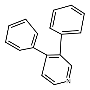 c1ccc(-c2ccncc2-c2ccccc2)cc1